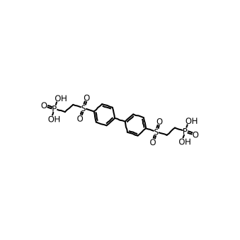 O=P(O)(O)CCS(=O)(=O)c1ccc(-c2ccc(S(=O)(=O)CCP(=O)(O)O)cc2)cc1